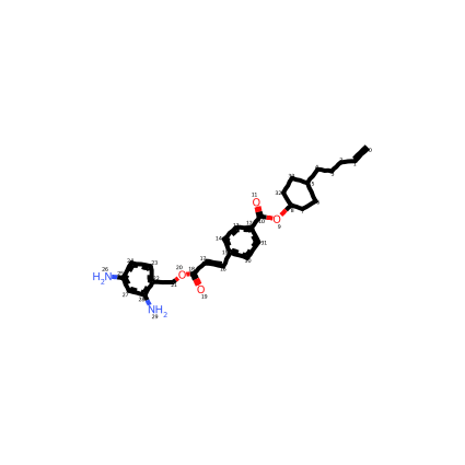 C=CCCCC1CCC(OC(=O)c2ccc(/C=C/C(=O)OCc3ccc(N)cc3N)cc2)CC1